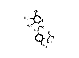 Cc1c(C#N)cnc(C(=O)Nc2ccc(N)c(C(=N)C(F)F)c2)c1C